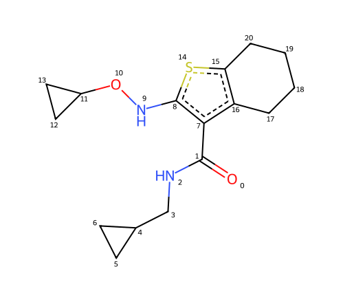 O=C(NCC1CC1)c1c(NOC2CC2)sc2c1CCCC2